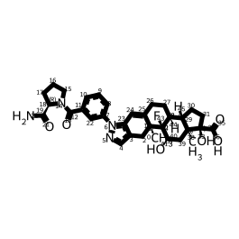 C[C@]12Cc3cnn(-c4cccc(C(=O)N5CCC[C@@H]5C(N)=O)c4)c3C=C1CC[C@H]1[C@@H]3CC[C@](O)(C(=O)O)[C@@]3(C)C[C@H](O)[C@@]12F